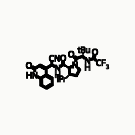 CC(C)[C@H]1CCN(C(=O)[C@@H](NC(=O)C(F)(F)F)C(C)(C)C)[C@@H]1C(=O)NC(C#N)c1cc(=O)[nH]c2ccccc12